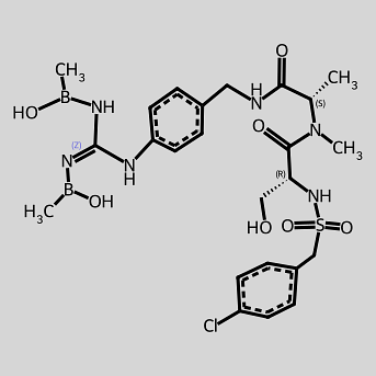 CB(O)/N=C(/NB(C)O)Nc1ccc(CNC(=O)[C@H](C)N(C)C(=O)[C@@H](CO)NS(=O)(=O)Cc2ccc(Cl)cc2)cc1